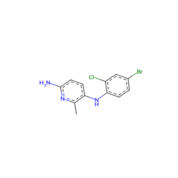 Cc1nc(N)ccc1Nc1ccc(Br)cc1Cl